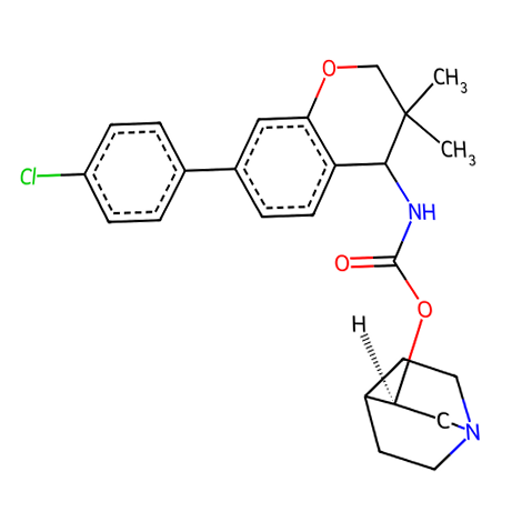 CC1(C)COc2cc(-c3ccc(Cl)cc3)ccc2C1NC(=O)O[C@H]1CN2CCC1CC2